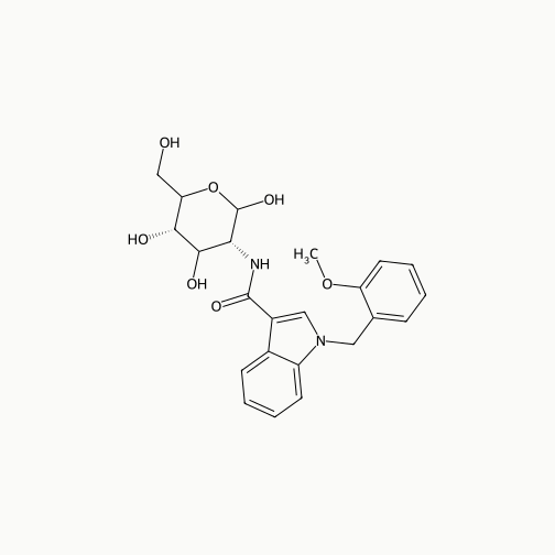 COc1ccccc1Cn1cc(C(=O)N[C@H]2C(O)OC(CO)[C@@H](O)C2O)c2ccccc21